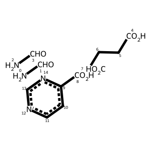 NC=O.NC=O.O=C(O)CCC(=O)O.O=C(O)c1ccncn1